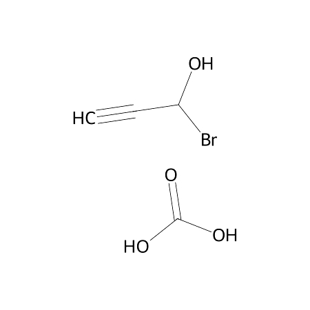 C#CC(O)Br.O=C(O)O